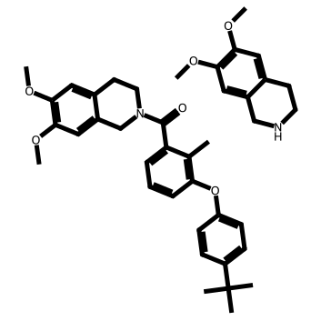 COc1cc2c(cc1OC)CN(C(=O)c1cccc(Oc3ccc(C(C)(C)C)cc3)c1C)CC2.COc1cc2c(cc1OC)CNCC2